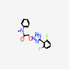 CN(C(=O)COn1nnc(-c2c(F)cccc2F)n1)c1ccccc1